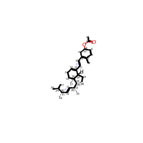 CC(=O)O[C@H]1CCC(C)=C(/C=C/C2=CCC[C@]3(C)[C@@H]([C@H](C)/C=C/[C@H](C)C(C)C)CC[C@@H]23)C1